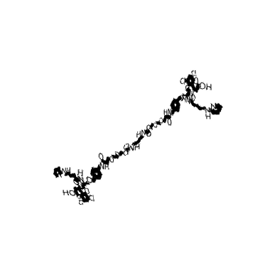 O=C(O)CC(NC(=O)[C@H](COCc1ccc(CNC(=O)CCOCCOCCOC(=O)NCCCCNC(=O)OCCOCCOCCC(=O)NCc2ccc(COC[C@H](NC(=O)CCCCNc3ccccn3)C(=O)NC(CC(=O)O)c3cc(Cl)cc(Cl)c3)cc2)cc1)NC(=O)CCCCNc1ccccn1)c1cc(Cl)cc(Cl)c1